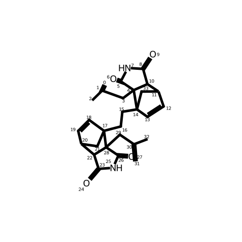 C=C(C)CC12C(=O)NC(=O)C1C1C=CC2(CCC23C=CC(C2)C2C(=O)NC(=O)C23CC(=C)C)C1